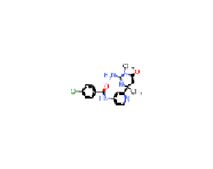 CN1C(=O)CC(C)(c2cc(NC(=O)c3ccc(Cl)cc3)ccn2)N=C1N